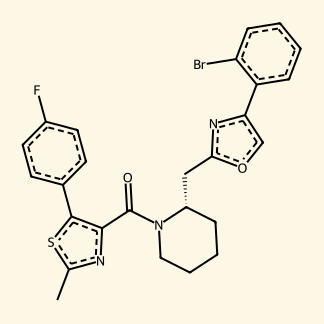 Cc1nc(C(=O)N2CCCC[C@H]2Cc2nc(-c3ccccc3Br)co2)c(-c2ccc(F)cc2)s1